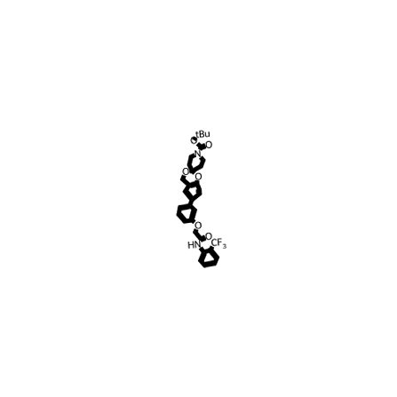 CC(C)(C)OC(=O)N1CCC2(CC1)OCc1cc(-c3cccc(OCC(=O)Nc4ccccc4C(F)(F)F)c3)ccc1O2